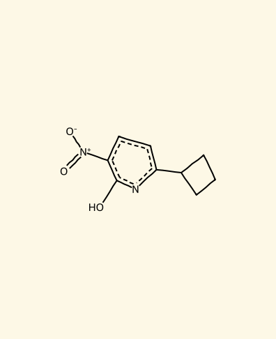 O=[N+]([O-])c1ccc(C2CCC2)nc1O